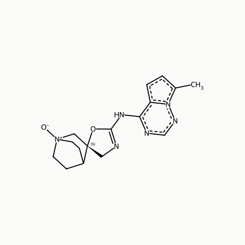 Cc1ccc2c(NC3=NC[C@@]4(C[N+]5([O-])CCC4CC5)O3)ncnn12